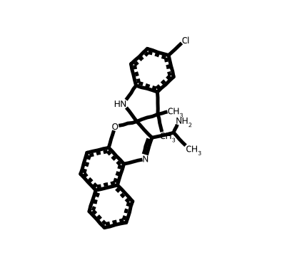 CC(N)C1=Nc2c(ccc3ccccc23)OC12Nc1ccc(Cl)cc1C2(C)C